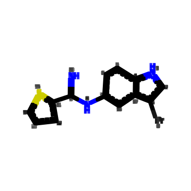 CC(C)c1c[nH]c2ccc(NC(=N)c3cccs3)cc12